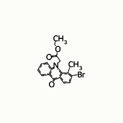 CCOC(=O)Cn1c2ccccc2c(=O)c2ccc(Br)c(C)c21